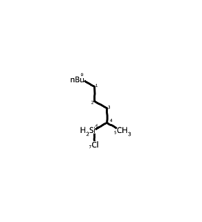 CCCCCCCC(C)[SiH2]Cl